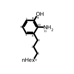 CCCCCCCCCc1cccc(O)c1N